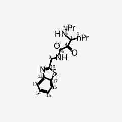 CCCC(NC(C)C)C(=O)C(=O)NCc1nc2ccccc2s1